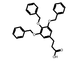 O=C(O)CCc1cc(OCc2ccccc2)c(OCc2ccccc2)c(OCc2ccccc2)c1